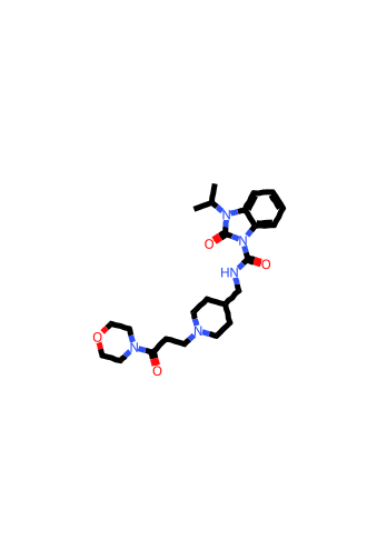 CC(C)n1c(=O)n(C(=O)NCC2CCN(CCC(=O)N3CCOCC3)CC2)c2ccccc21